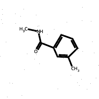 CNC(=O)c1cc[c]c(C)c1